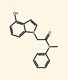 CN(C(=O)Cn1ccc2c(O)cccc21)c1ccccc1